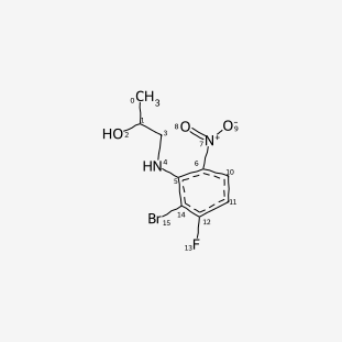 CC(O)CNc1c([N+](=O)[O-])ccc(F)c1Br